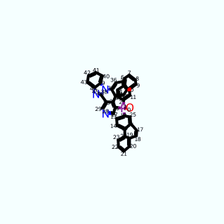 O=P(c1ccc2ccccc2c1)(c1ccc2c(ccc3ccccc32)c1)c1cncc2c1c1ccccc1n1c3ccccc3nc21